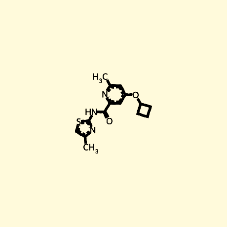 Cc1cc(OC2CCC2)cc(C(=O)Nc2nc(C)cs2)n1